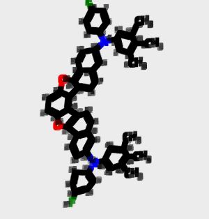 Cc1cc(N(c2ccc(F)cc2)c2ccc3c(ccc4c3oc3ccc5oc6c7ccc(N(c8ccc(F)cc8)c8cc(C)c(C)c(C)c8)cc7ccc6c5c34)c2)cc(C)c1C